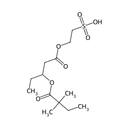 CCC(CC(=O)OCCS(=O)(=O)O)OC(=O)C(C)(C)CC